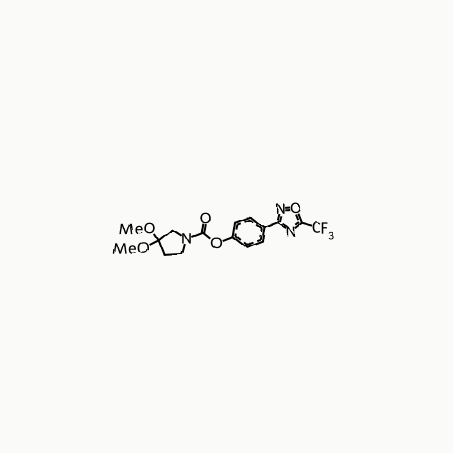 COC1(OC)CCN(C(=O)Oc2ccc(-c3noc(C(F)(F)F)n3)cc2)C1